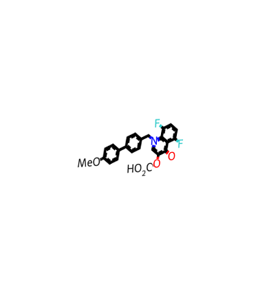 COc1ccc(-c2ccc(Cn3cc(OC(=O)O)c(=O)c4c(F)ccc(F)c43)cc2)cc1